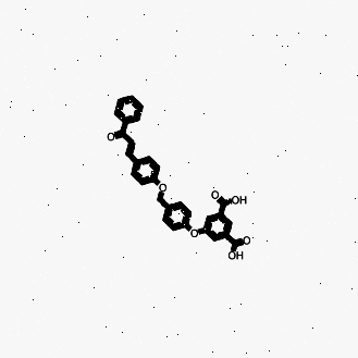 O=C(O)c1cc(Oc2ccc(COc3ccc(C=CC(=O)c4ccccc4)cc3)cc2)cc(C(=O)O)c1